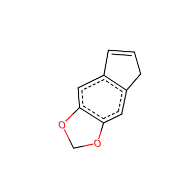 C1=Cc2cc3c(cc2C1)OCO3